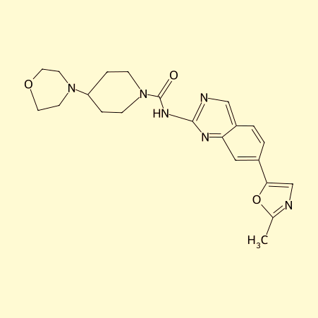 Cc1ncc(-c2ccc3cnc(NC(=O)N4CCC(N5CCOCC5)CC4)nc3c2)o1